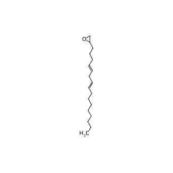 CCCCCCCCC=CCC=CCCCC1CO1